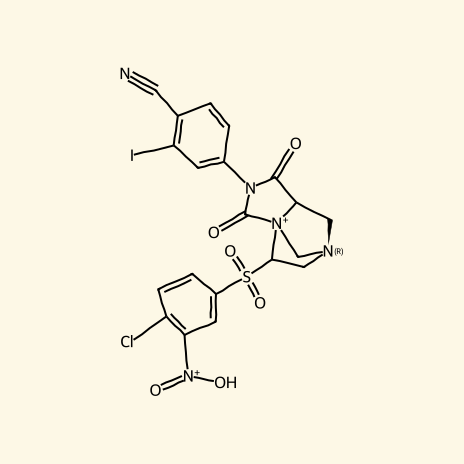 N#Cc1ccc(N2C(=O)C3C[N@@]4CC(S(=O)(=O)c5ccc(Cl)c([N+](=O)O)c5)[N+]3(C4)C2=O)cc1I